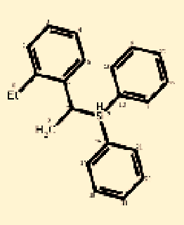 CCc1ccccc1C(C)[SiH](c1ccccc1)c1ccccc1